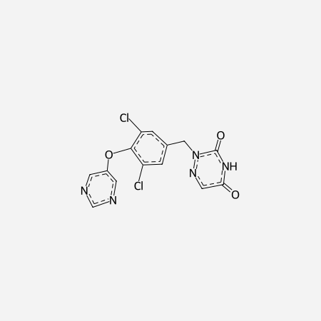 O=c1cnn(Cc2cc(Cl)c(Oc3cncnc3)c(Cl)c2)c(=O)[nH]1